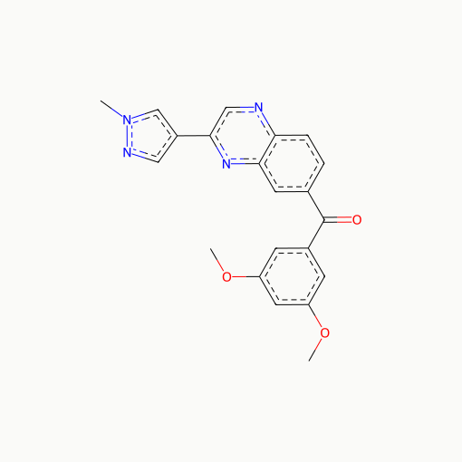 COc1cc(OC)cc(C(=O)c2ccc3ncc(-c4cnn(C)c4)nc3c2)c1